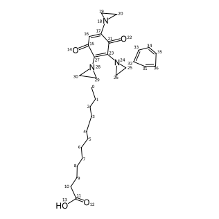 CCCCCCCCCCCC(=O)O.O=C1C=C(N2CC2)C(=O)C(N2CC2)=C1N1CC1.c1ccccc1